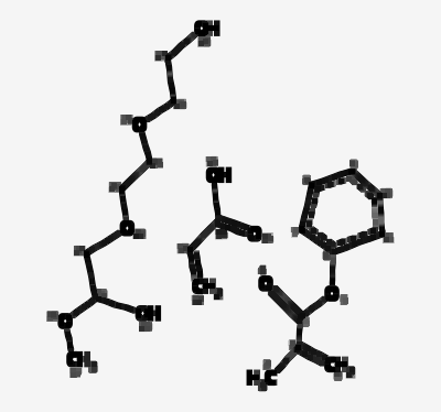 C=C(C)C(=O)Oc1ccccc1.C=CC(=O)O.COC(O)COCCOCCO